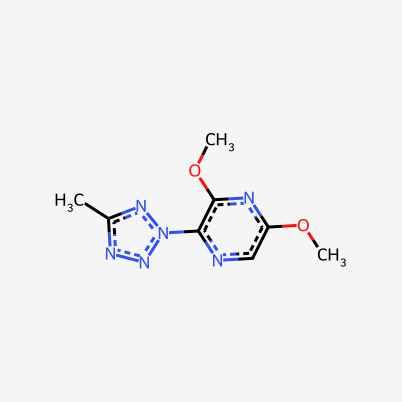 COc1cnc(-n2nnc(C)n2)c(OC)n1